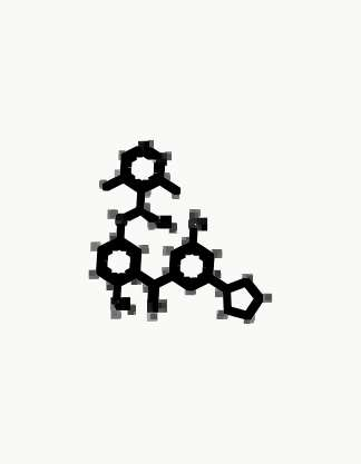 Cc1cnnc(C)c1[C@@H](N)Oc1ccc(N)c(C(=N)c2cc(C#N)cc(C3CCCC3)c2)c1